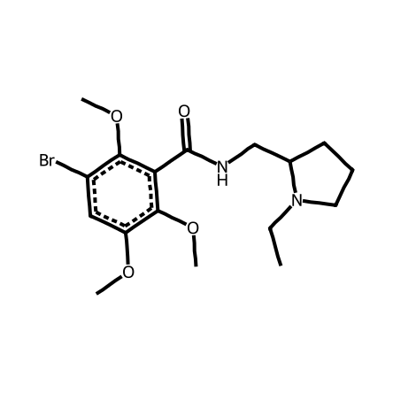 CCN1CCCC1CNC(=O)c1c(OC)c(Br)cc(OC)c1OC